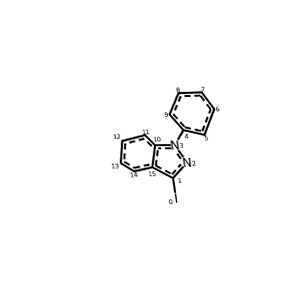 Ic1nn(-c2ccccc2)c2ccccc12